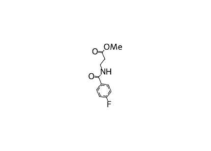 COC(=O)CCNC(=O)c1ccc(F)cc1